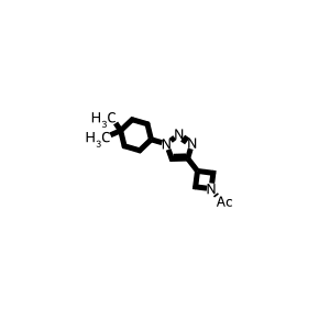 CC(=O)N1CC(c2cn(C3CCC(C)(C)CC3)nn2)C1